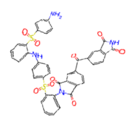 Nc1ccc(S(=O)(=O)c2ccccc2Nc2ccc(S(=O)(=O)c3ccccc3N3C(=O)c4ccc(C(=O)c5ccc6c(c5)C(=O)NC6=O)cc4C3=O)cc2)cc1